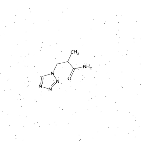 CC(Cn1[c]nnn1)C(N)=O